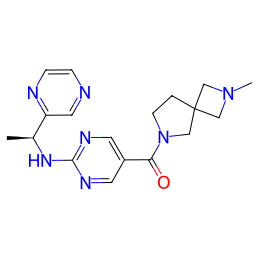 C[C@H](Nc1ncc(C(=O)N2CCC3(CN(C)C3)C2)cn1)c1cnccn1